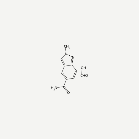 Cn1cc2cc(C(N)=O)ccc2n1.O=CO